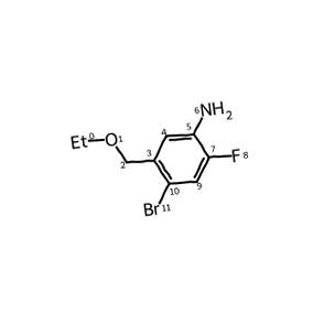 CCOCc1cc(N)c(F)cc1Br